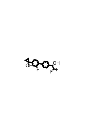 OC(c1ccc(-c2ccc(C3(O)CC3)cc2F)cc1)C(F)F